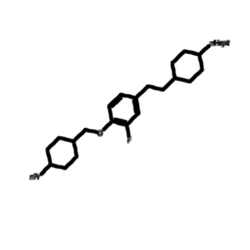 CCCCCCCC1CCC(CCc2ccc(OCC3CCC(CCC)CC3)c(F)c2)CC1